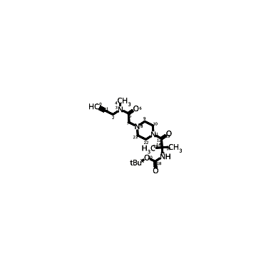 C#CCN(C)C(=O)CN1CCN(C(=O)C(C)(C)NC(=O)OC(C)(C)C)CC1